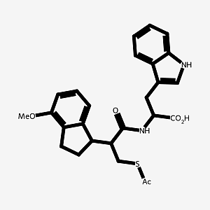 COc1cccc2c1CCC2C(CSC(C)=O)C(=O)NC(Cc1c[nH]c2ccccc12)C(=O)O